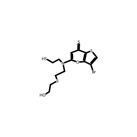 OCCSCCN(CCS)c1cc(=S)c2scc(Br)c2o1